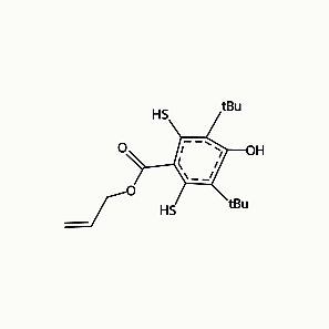 C=CCOC(=O)c1c(S)c(C(C)(C)C)c(O)c(C(C)(C)C)c1S